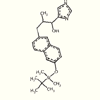 CC(Cc1ccc2cc(O[Si](C)(C)C(C)(C)C)ccc2c1)C(O)c1c[nH]cn1